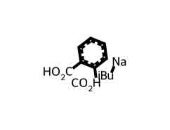 CC[CH](C)[Na].O=C(O)c1ccccc1C(=O)O